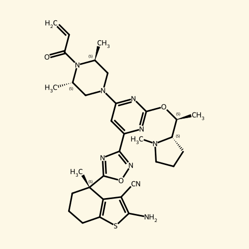 C=CC(=O)N1[C@@H](C)CN(c2cc(-c3noc([C@@]4(C)CCCc5sc(N)c(C#N)c54)n3)nc(O[C@@H](C)[C@@H]3CCCN3C)n2)C[C@@H]1C